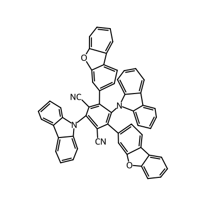 N#Cc1c(-c2ccc3c(c2)oc2ccccc23)c(-n2c3ccccc3c3ccccc32)c(-c2ccc3c(c2)oc2ccccc23)c(C#N)c1-n1c2ccccc2c2ccccc21